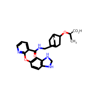 C[C@@H](OC1CC2CCC1CC2CNC(=O)c1cccnc1Oc1ccc2c(c1)NCN2)C(=O)O